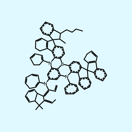 C=C/C(=C1\C(=C/C)C(C)(C)C2C=CC=CC12)N(C1=CCC=CC=C1)c1cc2c3c(c1)N(c1ccccc1)c1c(ccc4c1-c1ccccc1C41C4=C(C=CCC4)c4ccccc41)B3c1ccc3c(c1N2C1=CC=CCC1)C1=C(C=CCC1)C31c2ccccc2C(CCCC)C1C